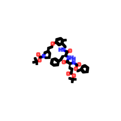 Cc1ccc(OCCC2CCCN(C(=O)OC(C)(C)C)C2)cc1CNC(=O)[C@H](CCc1ccccc1)NC(=O)[C@H](CCC(=O)OC(C)(C)C)NC(=O)OCc1ccccc1